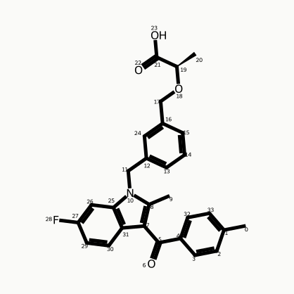 Cc1ccc(C(=O)c2c(C)n(Cc3cccc(CO[C@H](C)C(=O)O)c3)c3cc(F)ccc23)cc1